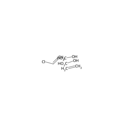 C=C.C=CCl.O=C(O)O.O=C(O)O